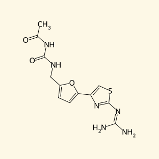 CC(=O)NC(=O)NCc1ccc(-c2csc(N=C(N)N)n2)o1